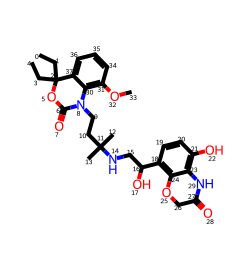 CCC1(CC)OC(=O)N(CCC(C)(C)NCC(O)c2ccc(O)c3c2OCC(=O)N3)c2c(OC)cccc21